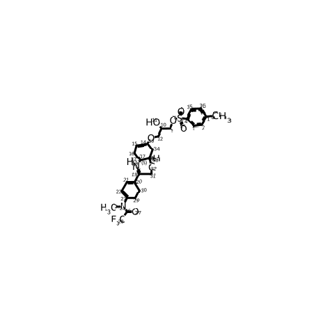 Cc1ccc(S(=O)(=O)OCC(O)COC2=CC[C@@H]3N=C(C4=CC=C(N(C)C(=O)C(F)(F)F)CC4)CC[C@@H]3C2)cc1